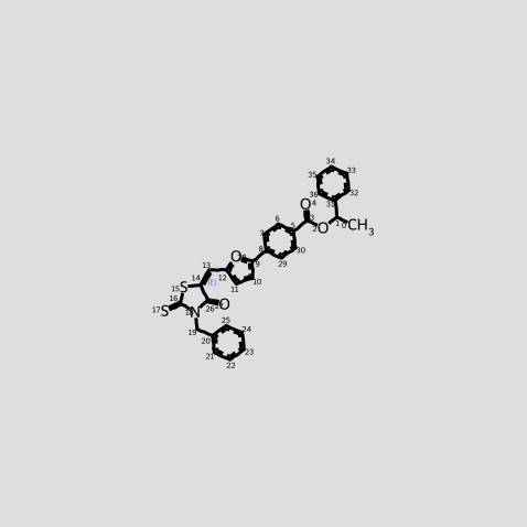 CC(OC(=O)c1ccc(-c2ccc(/C=C3/SC(=S)N(Cc4ccccc4)C3=O)o2)cc1)c1ccccc1